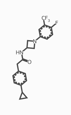 O=C(Cc1ccc(C2CC2)cc1)NC1CN(c2ccc(F)c(C(F)(F)F)c2)C1